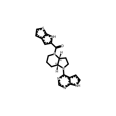 O=C(c1cc2ccsc2[nH]1)N1CCC[C@@H]2[C@H]1CCN2c1ncnc2[nH]ccc12